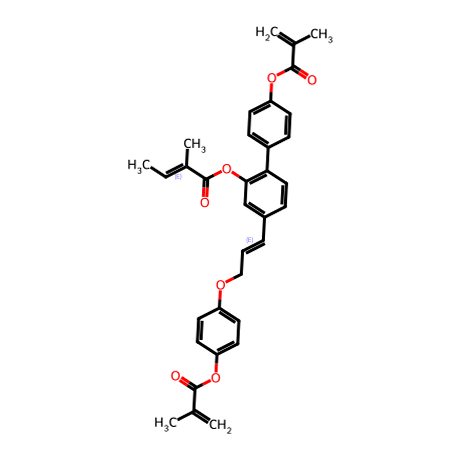 C=C(C)C(=O)Oc1ccc(OC/C=C/c2ccc(-c3ccc(OC(=O)C(=C)C)cc3)c(OC(=O)/C(C)=C/C)c2)cc1